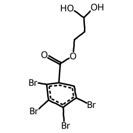 O=C(OCCC(O)O)c1cc(Br)c(Br)c(Br)c1Br